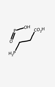 O=C(O)CCP.O=PO